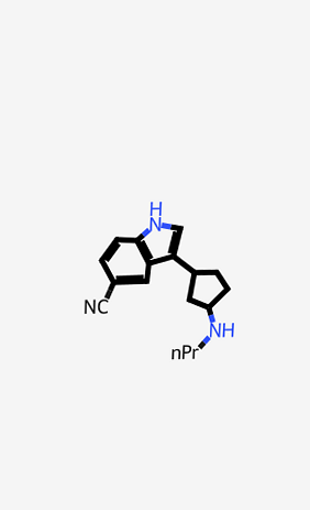 CCCNC1CCC(c2c[nH]c3ccc(C#N)cc23)C1